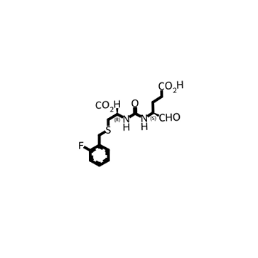 O=C[C@H](CCC(=O)O)NC(=O)N[C@@H](CSCc1ccccc1F)C(=O)O